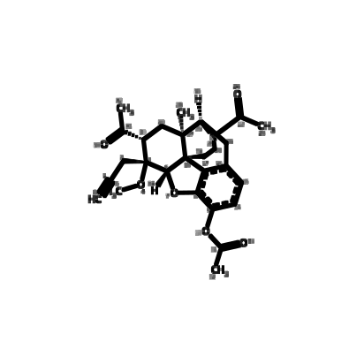 C#CC[C@]1(OC)[C@H]2Oc3c(OC(C)=O)ccc4c3[C@]23CCN(C(C)=O)[C@H](C4)[C@]3(C)C[C@H]1C(C)=O